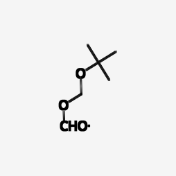 CC(C)(C)OCO[C]=O